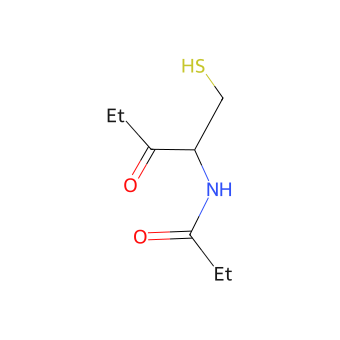 CCC(=O)NC(CS)C(=O)CC